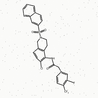 O=C(Cc1ccc(C(F)(F)F)c(F)c1)Nc1c(Cl)ccc2c1CCN(S(=O)(=O)c1ccc3ccccc3c1)C2